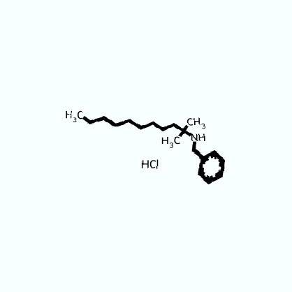 CCCCCCCCCC(C)(C)NCc1ccccc1.Cl